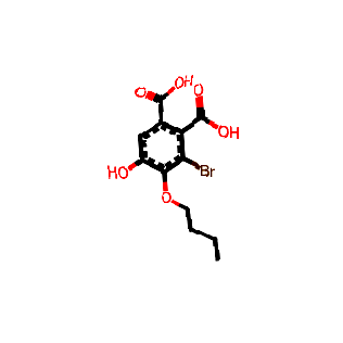 CCCCOc1c(O)cc(C(=O)O)c(C(=O)O)c1Br